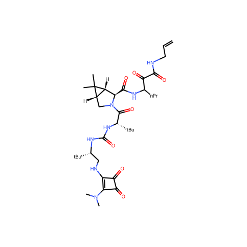 C=CCNC(=O)C(=O)C(CCC)NC(=O)[C@@H]1[C@@H]2[C@H](CN1C(=O)[C@@H](NC(=O)N[C@H](CNc1c(N(C)C)c(=O)c1=O)C(C)(C)C)C(C)(C)C)C2(C)C